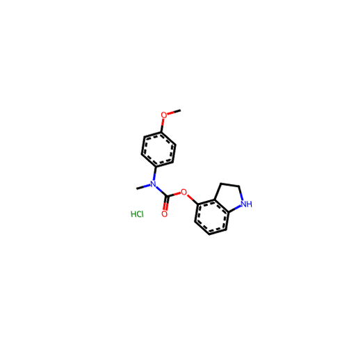 COc1ccc(N(C)C(=O)Oc2cccc3c2CCN3)cc1.Cl